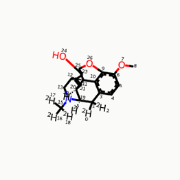 [2H]C1([2H])c2ccc(OC)c3c2[C@]24CCN(C([2H])([2H])[2H])[C@H]1[C@@H]2C=CC(O)C4O3